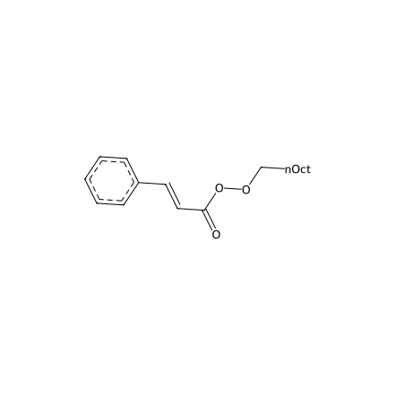 CCCCCCCCCOOC(=O)/C=C/c1ccccc1